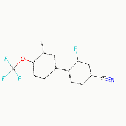 CC1CC(C2CCC(C#N)CC2F)CCC1OC(F)(F)F